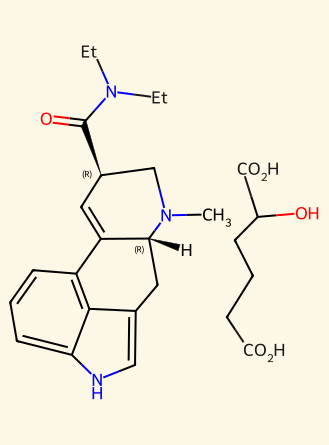 CCN(CC)C(=O)[C@@H]1C=C2c3cccc4[nH]cc(c34)C[C@H]2N(C)C1.O=C(O)CCCC(O)C(=O)O